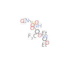 CCOc1ccc(C(CC)Oc2ccc(C(=O)NS(=O)(=O)CCCN3CCOCC3)cc2C(F)(F)F)nc1